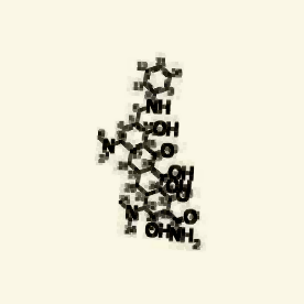 CN(C)c1cc(CNc2ccccc2)c(O)c2c1CC1CC3C(N(C)C)C(O)=C(C(N)=O)C(=O)C3(O)C(O)=C1C2=O